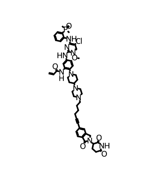 C=CC(=O)Nc1cc(Nc2ncc(Cl)c(Nc3ccccc3P(C)(C)=O)n2)c(OC)cc1N1CCC(N2CCN(CCCCC#Cc3ccc4c(c3)CN(C3CCC(=O)NC3=O)C4=O)CC2)CC1